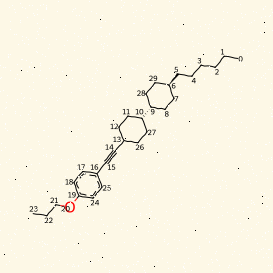 CCCCCC[C@H]1CC[C@H](C2CCC(C#Cc3ccc(OCCC)cc3)CC2)CC1